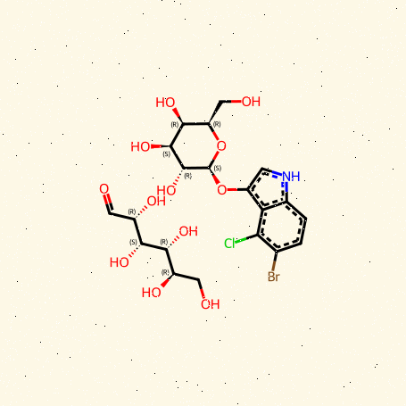 O=C[C@H](O)[C@@H](O)[C@H](O)[C@H](O)CO.OC[C@H]1O[C@@H](Oc2c[nH]c3ccc(Br)c(Cl)c23)[C@H](O)[C@@H](O)[C@H]1O